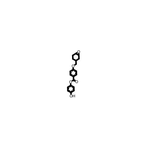 O=C(Oc1ccc(O)cc1)c1ccc(OCC2CCC3OC3C2)cc1